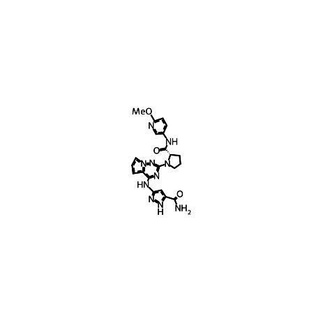 COc1ccc(NC(=O)[C@@H]2CCCN2c2nc(Nc3cc(C(N)=O)[nH]n3)c3cccn3n2)cn1